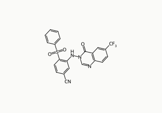 N#Cc1ccc(S(=O)(=O)c2ccccc2)c(Nn2cnc3ccc(C(F)(F)F)cc3c2=O)c1